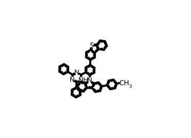 Cc1ccc(-c2ccc3c4ccccc4n(-c4ccc(-c5ccc6sc7ccccc7c6c5)cc4C4N=C(c5ccccc5)N=C(c5ccccc5)N4)c3c2)cc1